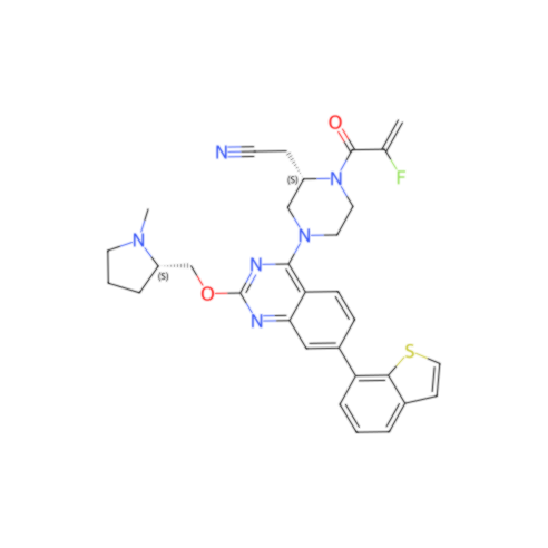 C=C(F)C(=O)N1CCN(c2nc(OC[C@@H]3CCCN3C)nc3cc(-c4cccc5ccsc45)ccc23)C[C@@H]1CC#N